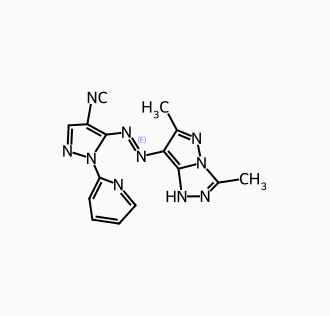 [C-]#[N+]c1cnn(-c2ccccn2)c1/N=N/c1c(C)nn2c(C)n[nH]c12